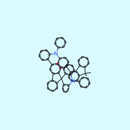 CC1(C)c2ccccc2-c2c(-c3ccc(N(c4ccccc4)c4ccccc4-c4ccc5c(c4)-c4ccccc4C54c5ccccc5N(c5ccccc5)c5ccccc54)cc3)cccc21